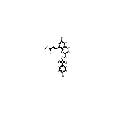 COC(=O)C=Cc1cc(F)cc2c1OC(COS(=O)(=O)c1ccc(C)cc1)CC2